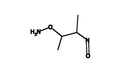 CC(N=O)C(C)ON